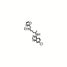 CCN(CCCC(C)Nc1ncnc2cc(Cl)ccc12)Cc1ncco1